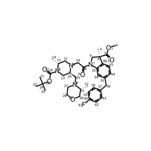 COC(=O)[C@]1(C)CN(C(=O)CN2C[C@@H](C)N(C(=O)OC(C)(C)C)C[C@@H]2CN2CCOC[C@H]2C)c2cc(Cc3ccc(F)cc3)ccc21